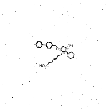 O=C(O)CCC=CCC[C@@H]1[C@@H](N2CCCCC2)[C@@H](O)C[C@@H]1OCc1ccc(-c2ccccc2)cc1